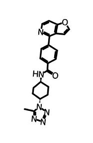 Cc1nnnn1[C@H]1CC[C@H](NC(=O)c2ccc(-c3nccc4occc34)cc2)CC1